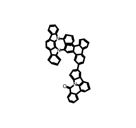 O=c1c2ccccc2c2cccc3c4cc(-c5ccc6c7ccccc7c7ccc(-n8c9ccccc9c9ccc%10c%11ccccc%11n(-c%11ccccc%11)c%10c98)cc7c6c5)ccc4n1c23